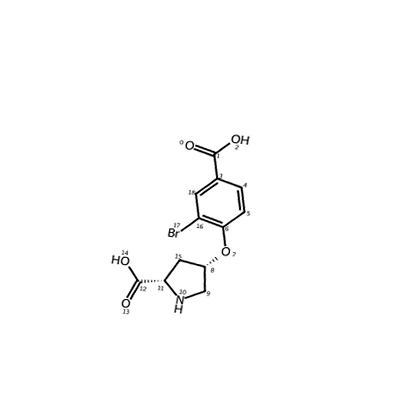 O=C(O)c1ccc(O[C@@H]2CN[C@H](C(=O)O)C2)c(Br)c1